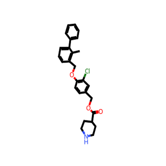 Cc1c(COc2ccc(COC(=O)C3CCNCC3)cc2Cl)cccc1-c1ccccc1